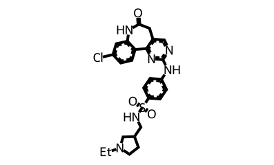 CCN1CCC(CNS(=O)(=O)c2ccc(Nc3ncc4c(n3)-c3ccc(Cl)cc3NC(=O)C4)cc2)C1